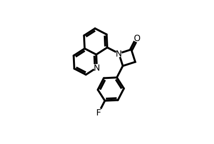 O=C1CC(c2ccc(F)cc2)N1c1cccc2cccnc12